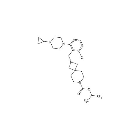 O=C(OC(C(F)(F)F)C(F)(F)F)N1CCC2(CC1)CN(Cc1c(Cl)cccc1N1CCN(C3CC3)CC1)C2